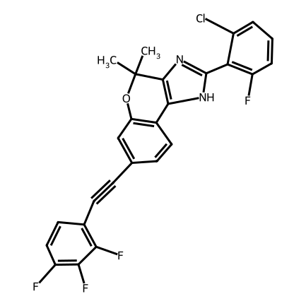 CC1(C)Oc2cc(C#Cc3ccc(F)c(F)c3F)ccc2-c2[nH]c(-c3c(F)cccc3Cl)nc21